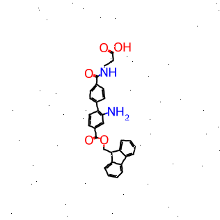 Nc1cc(C(=O)OCC2c3ccccc3-c3ccccc32)ccc1-c1ccc(C(=O)NCCC(=O)O)cc1